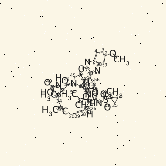 COc1ccc2nc(O[C@@H]3C[C@H]4C(=O)N[C@]5(C(=O)NS(=O)(=O)C6(C)CC6)C[C@H]5C=CCC[C@@H](C)C[C@@H](C)[C@H](NC(=O)O)C(=O)N4C3)c(-c3ccc(OC(C)C)cc3)nc2c1